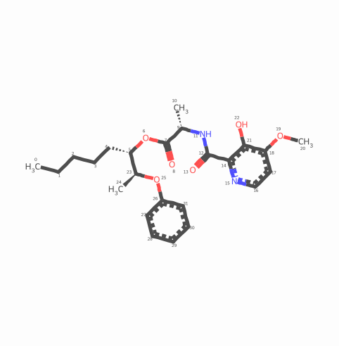 CCCCC[C@H](OC(=O)[C@H](C)NC(=O)c1nccc(OC)c1O)[C@H](C)Oc1ccccc1